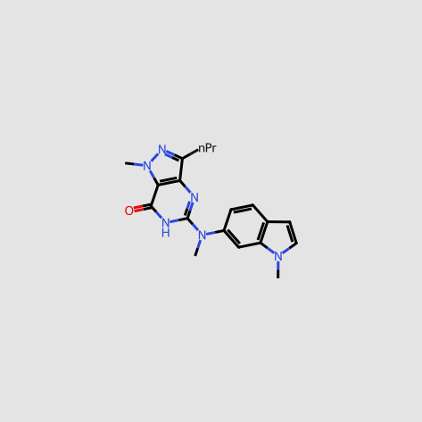 CCCc1nn(C)c2c(=O)[nH]c(N(C)c3ccc4ccn(C)c4c3)nc12